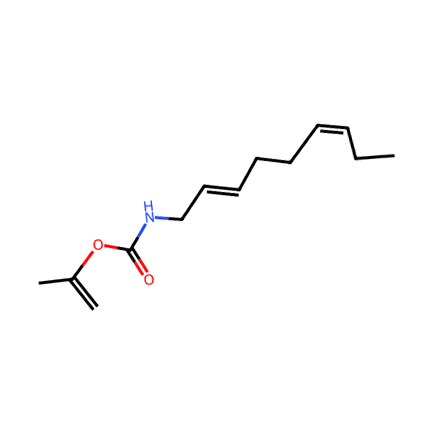 C=C(C)OC(=O)NC/C=C/CC/C=C\CC